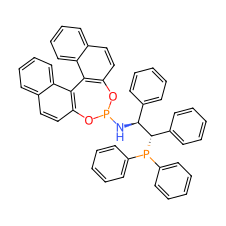 c1ccc([C@H](Np2oc3ccc4ccccc4c3c3c(ccc4ccccc43)o2)[C@H](c2ccccc2)P(c2ccccc2)c2ccccc2)cc1